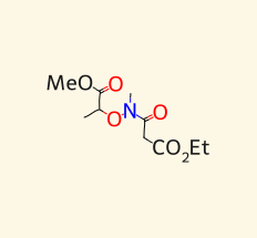 CCOC(=O)CC(=O)N(C)OC(C)C(=O)OC